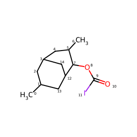 CC1CC2CC(C)C(OC(=O)I)C(C1)C2